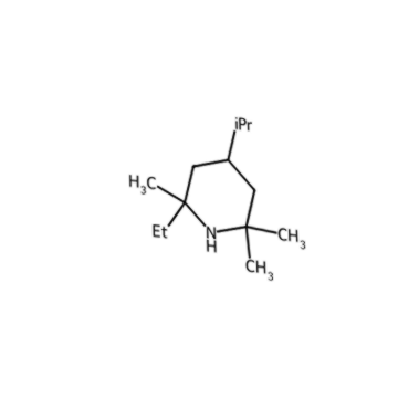 CCC1(C)CC(C(C)C)CC(C)(C)N1